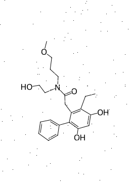 CCc1c(O)cc(O)c(-c2ccccc2)c1CC(=O)N(CCO)CCCOC